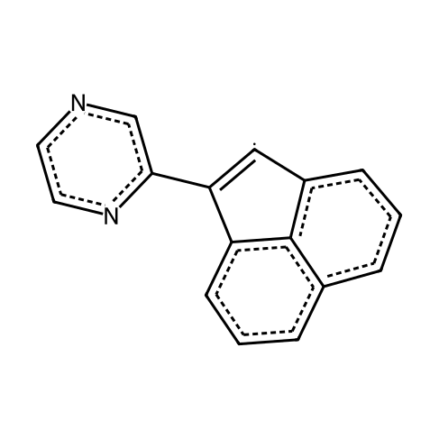 [C]1=C(c2cnccn2)c2cccc3cccc1c23